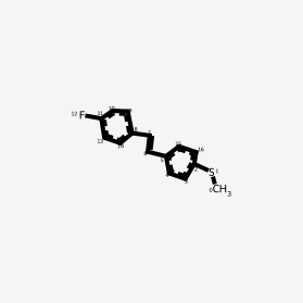 CSc1ccc(/C=C/c2ccc(F)cc2)cc1